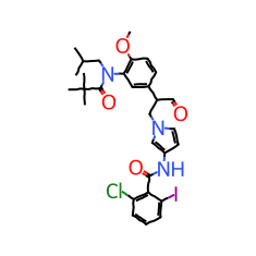 COc1ccc(C(C=O)Cn2ccc(NC(=O)c3c(Cl)cccc3I)c2)cc1N(CC(C)C)C(=O)C(C)(C)C